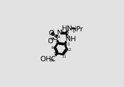 CC(C)NC1=NS(=O)(=O)c2cc(C=O)ccc2N1